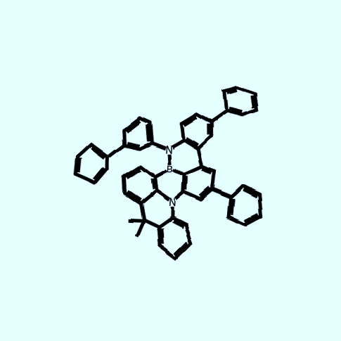 CC1(C)c2ccccc2N2c3cc(-c4ccccc4)cc4c3B(c3cccc1c32)N(c1cccc(-c2ccccc2)c1)c1ccc(-c2ccccc2)cc1-4